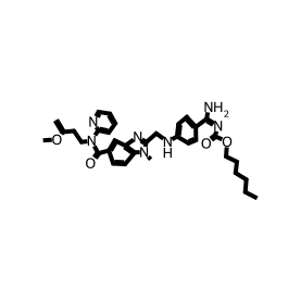 C=C(CCN(C(=O)c1ccc2c(c1)nc(CNc1ccc(/C(N)=N\C(=O)OCCCCCC)cc1)n2C)c1ccccn1)OC